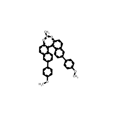 COc1ccc(-c2ccc3c(ccc4op(C)oc5ccc6cc(-c7ccc(OC)cc7)ccc6c5c43)c2)cc1